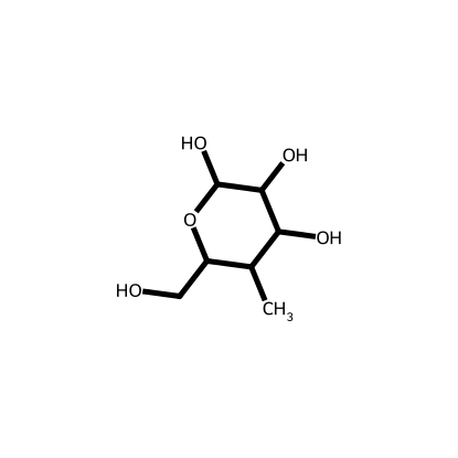 CC1C(CO)OC(O)C(O)C1O